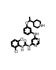 CC(Oc1cccc(Nc2cc(NC(=O)Nc3c(Cl)cccc3Cl)ncn2)c1)C1CCNCC1